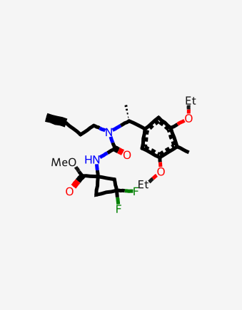 C#CCCN(C(=O)NC1(C(=O)OC)CC(F)(F)C1)[C@H](C)c1cc(OCC)c(C)c(OCC)c1